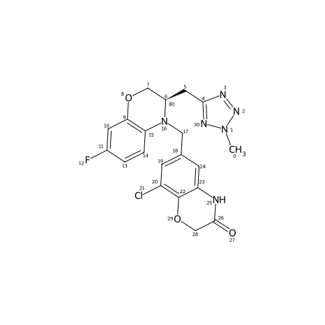 Cn1nnc(C[C@@H]2COc3cc(F)ccc3N2Cc2cc(Cl)c3c(c2)NC(=O)CO3)n1